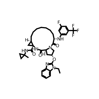 CCn1c(O[C@@H]2C[C@H]3C(=O)N[C@]4(C(=O)NC5(C)CC5)C[C@H]4CCCCCCC[C@H](Nc4cc(F)cc(C(F)(F)F)c4)C(=O)N3C2)nc2ccccc21